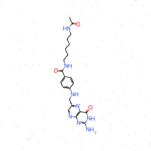 CC(=O)NCCCCCCNC(=O)c1ccc(NCc2cnc3nc(N)[nH]c(=O)c3n2)cc1